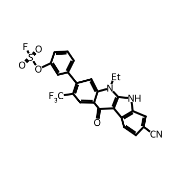 CCn1c2cc(-c3cccc(OS(=O)(=O)F)c3)c(C(F)(F)F)cc2c(=O)c2c3ccc(C#N)cc3[nH]c21